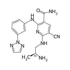 C[C@H](N)CNc1nc(Nc2cccc(-n3nccn3)c2)c(C(N)=O)cc1C#N